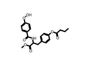 CCCC(=O)Oc1ccc(CC(NC(=O)c2ccc(OO)cc2)C(=O)OC)cc1